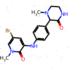 CN1CCNC(=O)C1c1ccc(Nc2cc(Br)cn(C)c2=O)cc1